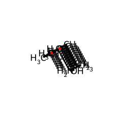 C=CCCCC.C=CCCCC.C=CCCCC.C=CCCCC.C=CCCCC.C=CCCCC.C=CCCCC.C=CCCCC.C=CCCCC.C=CCCCC.C=CCCCC.C=CCCCC.CCCCCC(O)CN